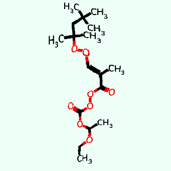 CCOC(C)OC(=O)OOC(=O)C(C)=COOC(C)(C)CC(C)(C)C